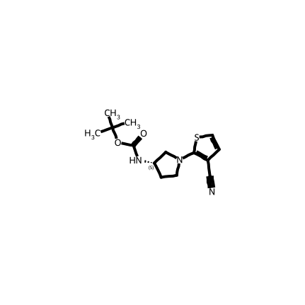 CC(C)(C)OC(=O)N[C@H]1CCN(c2sccc2C#N)C1